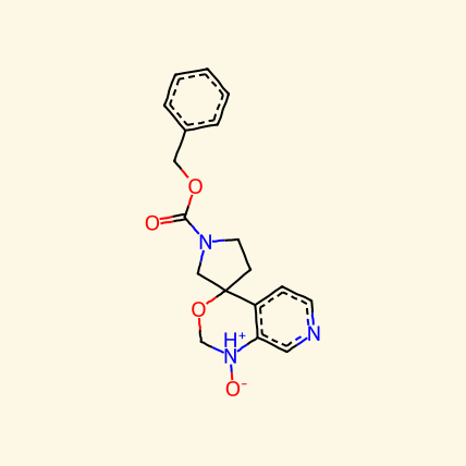 O=C(OCc1ccccc1)N1CCC2(C1)OC[NH+]([O-])c1cnccc12